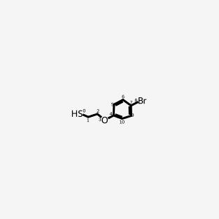 SCCOc1ccc(Br)cc1